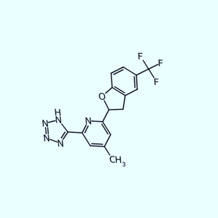 Cc1cc(-c2nnn[nH]2)nc(C2Cc3cc(C(F)(F)F)ccc3O2)c1